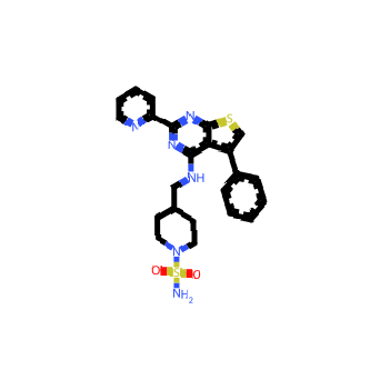 NS(=O)(=O)N1CCC(CNc2nc(-c3ccccn3)nc3scc(-c4ccccc4)c23)CC1